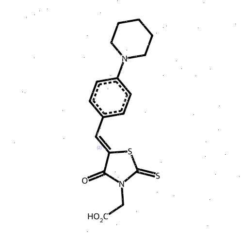 O=C(O)CN1C(=O)/C(=C/c2ccc(N3CCCCC3)cc2)SC1=S